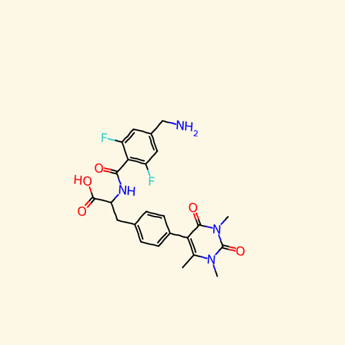 Cc1c(-c2ccc(CC(NC(=O)c3c(F)cc(CN)cc3F)C(=O)O)cc2)c(=O)n(C)c(=O)n1C